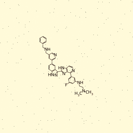 CN(C)CCNc1cc(F)cc(-c2nccc3[nH]c(-c4n[nH]c5ccc(-c6cncc(CNCc7ccccc7)c6)cc45)nc23)c1